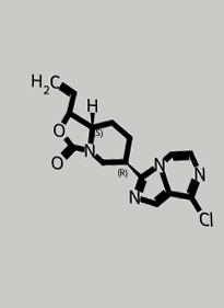 C=CC1OC(=O)N2C[C@H](c3ncc4c(Cl)nccn34)CC[C@@H]12